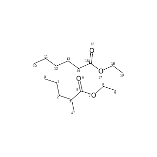 CCCC(C)C(=O)OCC.CCCCCC(=O)OCC